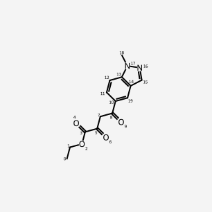 CCOC(=O)C(=O)CC(=O)c1ccc2c(cnn2C)c1